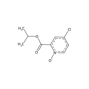 CC(C)OC(=O)c1cc(Cl)cc[n+]1[O-]